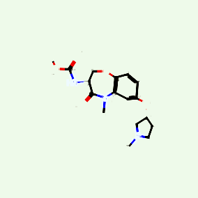 CN1CC[C@@H](Oc2ccc3c(c2)N(C)C(=O)[C@@H](NC(=O)OC(C)(C)C)CO3)C1